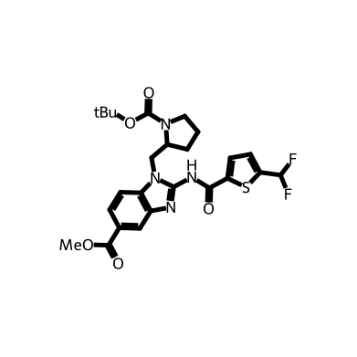 COC(=O)c1ccc2c(c1)nc(NC(=O)c1ccc(C(F)F)s1)n2CC1CCCN1C(=O)OC(C)(C)C